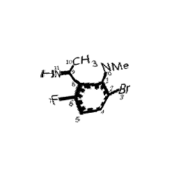 CNc1c(Br)ccc(F)c1C(C)=N